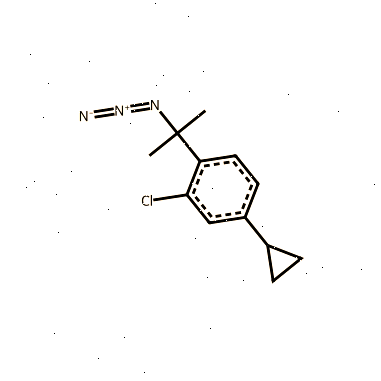 CC(C)(N=[N+]=[N-])c1ccc(C2CC2)cc1Cl